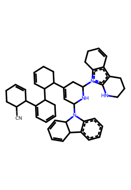 N#CC1CCC=CC1C1=CC=CCC1C1C=CCCC1C1=CC(N2c3ccccc3C3C=CC=CC32)NC(n2c3c(c4c2NCCC4)C=CCC3)C1